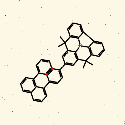 CC1(C)c2cc(-c3ccc(-c4cccc5cccc(-c6ccccc6)c45)cc3)cc3c2-n2c4c1cccc4c1cccc(c12)C3(C)C